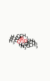 CB(OC(C)(C)C(C)(C)C)B1OC(C)(C)C(C)(C)O1